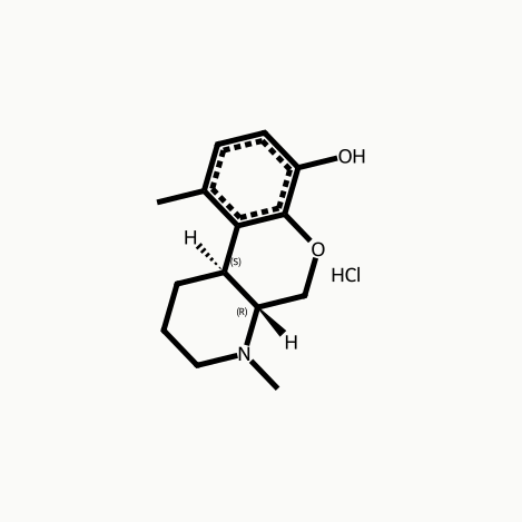 Cc1ccc(O)c2c1[C@@H]1CCCN(C)[C@H]1CO2.Cl